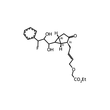 CCOC(=O)COCC=CC[C@@H]1C(=O)C[C@H]2C(C(O)C(O)C(F)c3ccccc3)[C@@H]12